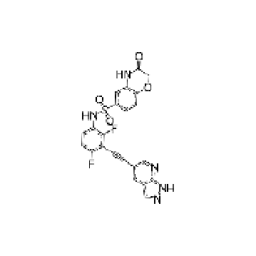 O=C1COc2ccc(S(=O)(=O)Nc3ccc(F)c(C#Cc4cnc5[nH]ncc5c4)c3F)cc2N1